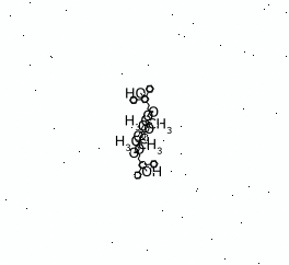 CC(C)(COC(=O)CCc1cc(-c2ccccc2)c(O)c(-c2ccccc2)c1)C1OCC2(CO1)COC(C(C)(C)COC(=O)CCc1cc(-c3ccccc3)c(O)c(-c3ccccc3)c1)OC2